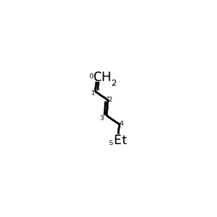 C=C/[C]=C/CCC